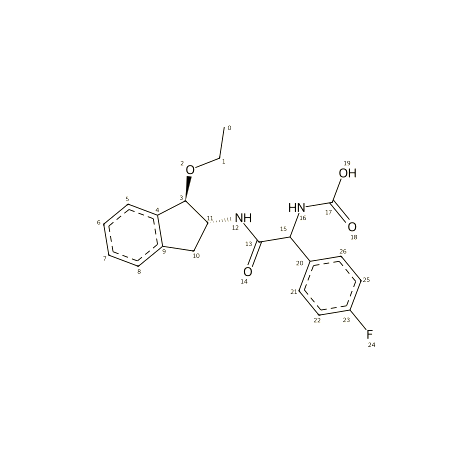 CCO[C@@H]1c2ccccc2C[C@H]1NC(=O)C(NC(=O)O)c1ccc(F)cc1